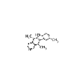 Cc1ccc2[nH]c3c(C)c4ccncc4c(C)c3c2c1